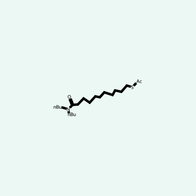 CCCCN(CCCC)C(=O)CCCCCCCCCCSC(C)=O